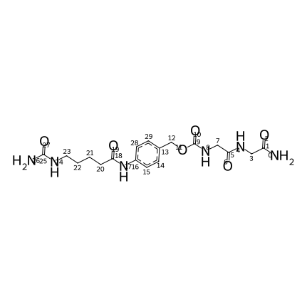 NC(=O)CNC(=O)CNC(=O)OCc1ccc(NC(=O)CCCCNC(N)=O)cc1